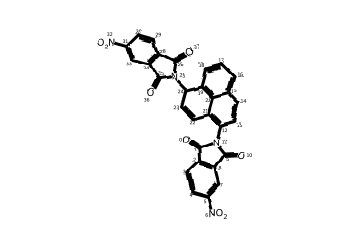 O=C1c2ccc([N+](=O)[O-])cc2C(=O)N1c1ccc2cccc3c2c1C=CC3N1C(=O)c2ccc([N+](=O)[O-])cc2C1=O